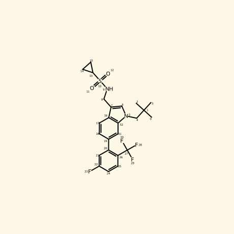 CC(C)(C)Cn1cc(CNS(=O)(=O)C2CC2)c2ccc(-c3cc(F)ccc3C(F)(F)F)cc21